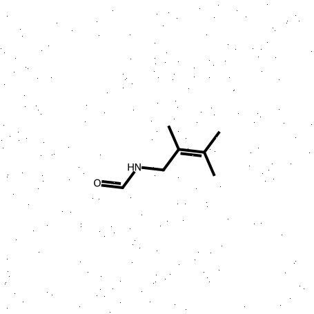 CC(C)=C(C)CNC=O